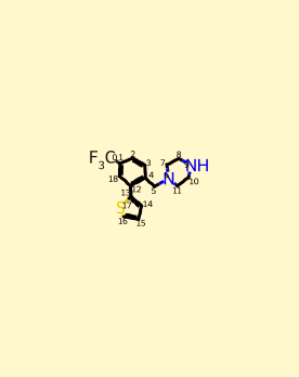 FC(F)(F)c1ccc(CN2CCNCC2)c(-c2cccs2)c1